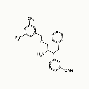 COc1cccc(C(Cc2ccccc2)C(N)COCc2cc(C(F)(F)F)cc(C(F)(F)F)c2)c1